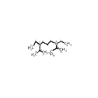 CCN(CCCN(CC)C(C)C)C(C)C